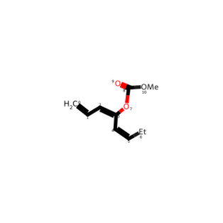 C=C/C=C(\C=C/CC)OC(=O)OC